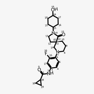 O=C(Nc1ccc(N2CCC[C@]3(CCN(C4CCC(O)CC4)C3=O)C2)c(F)c1)C1CC1